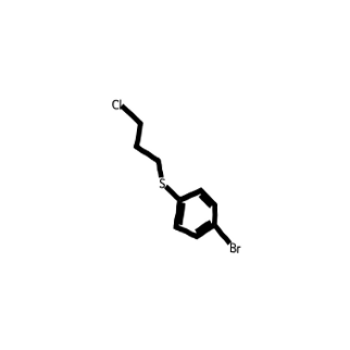 ClCCCSc1ccc(Br)cc1